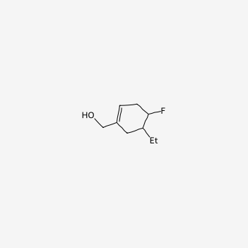 CCC1CC(CO)=CCC1F